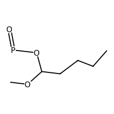 CCCCC(OC)OP=O